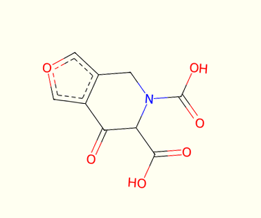 O=C(O)C1C(=O)c2cocc2CN1C(=O)O